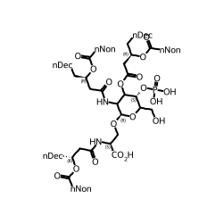 CCCCCCCCCCC[C@H](CC(=O)NC1C(OC(=O)C[C@@H](CCCCCCCCCCC)OC(=O)CCCCCCCCC)[C@H](OP(=O)(O)O)C(CO)O[C@H]1OC[C@H](NC(=O)C[C@@H](CCCCCCCCCC)OC(=O)CCCCCCCCC)C(=O)O)OC(=O)CCCCCCCCC